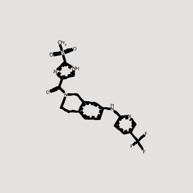 CS(=O)(=O)c1nc(C(=O)N2CCc3ccc(Nc4ccc(C(F)(F)F)cn4)cc3C2)c[nH]1